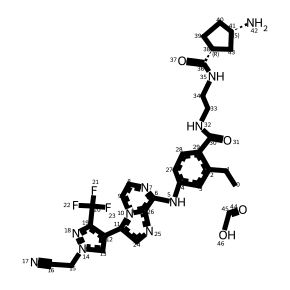 CCc1cc(Nc2nccn3c(-c4cn(CC#N)nc4C(F)(F)F)cnc23)ccc1C(=O)NCCNC(=O)[C@@H]1CC[C@H](N)C1.O=CO